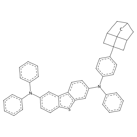 c1ccc(N(c2ccc(C34CC5CC6CC(C3)C54C6)cc2)c2ccc3c(c2)sc2ccc(N(c4ccccc4)c4ccccc4)cc23)cc1